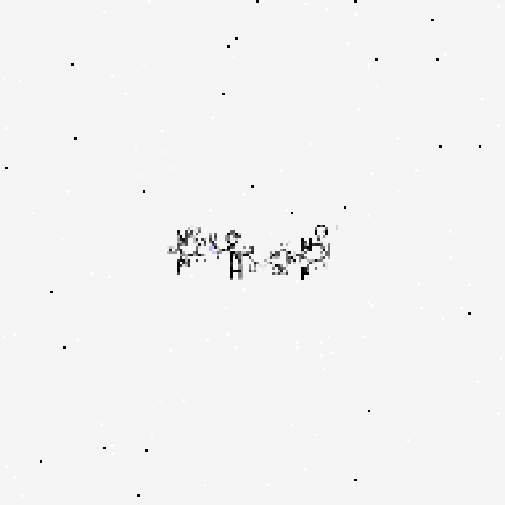 COc1ncc(F)c(N2CC3C(CCNC(=O)/C=C/c4cncc(F)c4)C3C2)n1